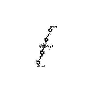 CCCCC[C@H]1CC[C@H](CCCOc2ccc(CO[C@@](CCC)(C(=O)O)[C@@](CCC)(OCc3ccc(OCCC[C@H]4CC[C@H](CCCCC)CC4)cc3)C(=O)O)cc2)CC1